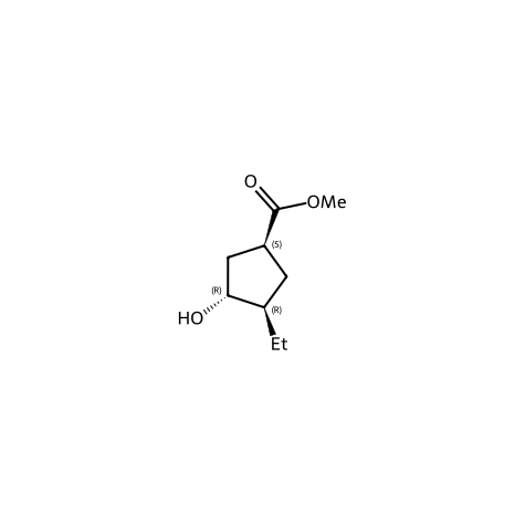 CC[C@@H]1C[C@H](C(=O)OC)C[C@H]1O